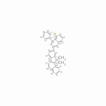 CC1(C)c2cc(-c3cc4c5c(cccc5c3)Sc3ccccc3-4)ccc2-c2ccc3ccccc3c21